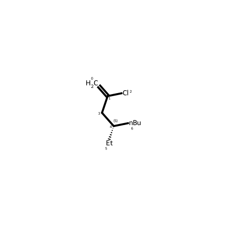 C=C(Cl)C[C@@H](CC)CCCC